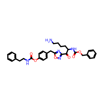 NCCCCC(NC(=O)OCc1ccccc1)C(=O)c1noc(Cc2ccc(OC(=O)NCCc3ccccc3)cc2)n1